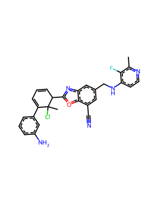 Cc1nccc(NCc2cc(C#N)c3oc(C4C=CC=C(c5cccc(N)c5)C4(C)Cl)nc3c2)c1F